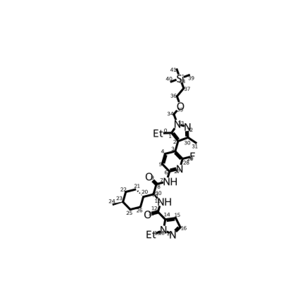 CCc1c(-c2ccc(NC(=O)[C@@H](NC(=O)c3ccnn3CC)[C@H]3CC[C@H](C)CC3)nc2F)c(C)nn1COCC[Si](C)(C)C